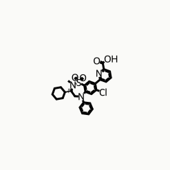 CN1[C@H](C2CCCCC2)CN(c2ccccc2)c2cc(Cl)c(-c3cccc(C(=O)O)n3)cc2S1(=O)=O